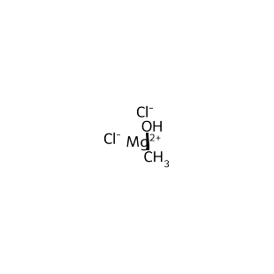 CO.[Cl-].[Cl-].[Mg+2]